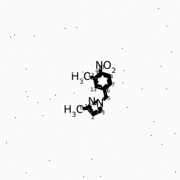 Cc1ccn(Cc2ccc([N+](=O)[O-])c(C)c2)n1